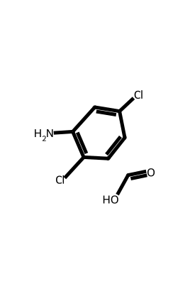 Nc1cc(Cl)ccc1Cl.O=CO